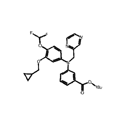 CC(C)(C)OC(=O)c1cccc(N(Cc2cnccn2)c2ccc(OC(F)F)c(OCC3CC3)c2)c1